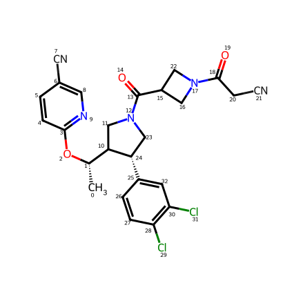 C[C@H](Oc1ccc(C#N)cn1)C1CN(C(=O)C2CN(C(=O)CC#N)C2)C[C@@H]1c1ccc(Cl)c(Cl)c1